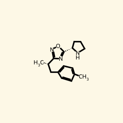 Cc1ccc(C[C@H](C)c2noc([C@@H]3CCCN3)n2)cc1